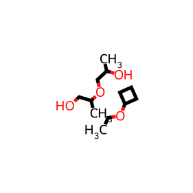 CC(O)COC(C)CO.CCOC1CCC1